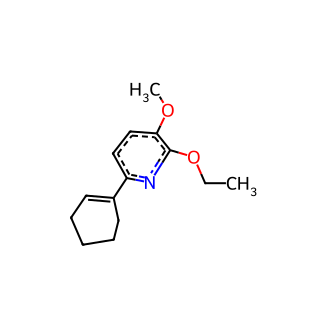 CCOc1nc(C2=CCCCC2)ccc1OC